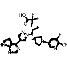 N#Cc1ncc(N2CC[C@H](C(CF)n3cc(-c4ncnc5[nH]ccc45)cn3)C2)cc1F.O=C(O)C(F)(F)F